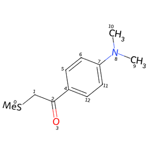 CSCC(=O)c1ccc(N(C)C)cc1